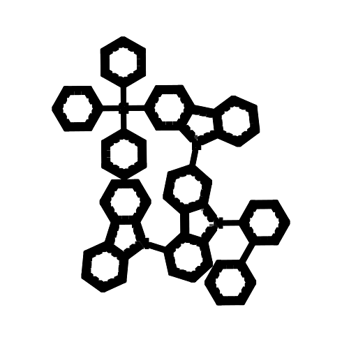 c1ccc(-c2ccccc2-n2c3cc(-n4c5ccccc5c5ccc([Si](c6ccccc6)(c6ccccc6)c6ccccc6)cc54)ccc3c3c(-n4c5ccccc5c5ccccc54)cccc32)cc1